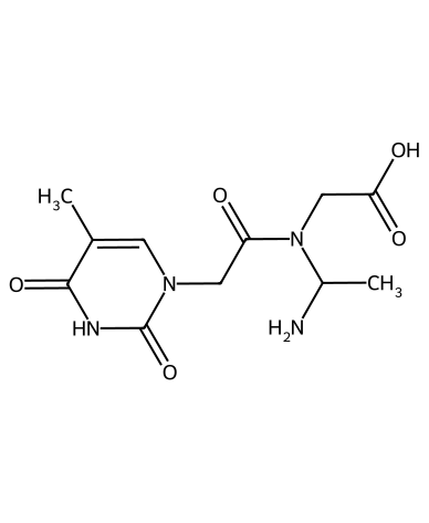 Cc1cn(CC(=O)N(CC(=O)O)C(C)N)c(=O)[nH]c1=O